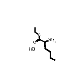 CCCCC(N)C(=O)OCC.Cl